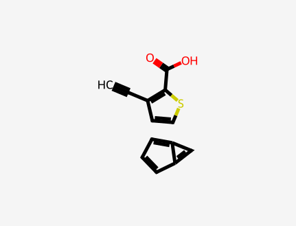 C#Cc1ccsc1C(=O)O.c1cc2cc-2c1